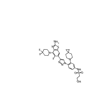 Nc1nc2c(N3CCC(F)(F)CC3)c(F)c(-c3cn(-c4ccc(NS(=O)(=O)CCO)cc4N4CCC5(CC4)CC5)nn3)cc2s1